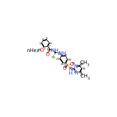 CCCCCCOc1ccccc1C(=O)NC(=S)Nc1ccc(S(=O)(=O)Nc2nc(C)cc(C)n2)cc1